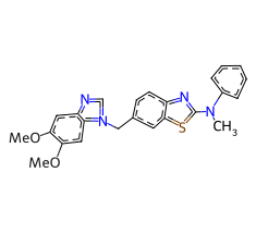 COc1cc2ncn(Cc3ccc4nc(N(C)c5ccccc5)sc4c3)c2cc1OC